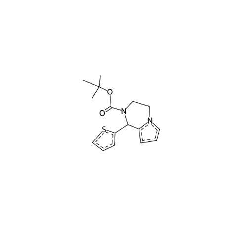 CC(C)(C)OC(=O)N1CCn2cccc2C1c1cccs1